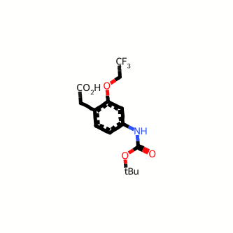 CC(C)(C)OC(=O)Nc1ccc(CC(=O)O)c(OCC(F)(F)F)c1